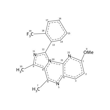 COc1ccc2nc(C)c3c(C)nc(-c4ccccc4C(F)(F)F)n3c2n1